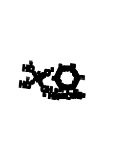 N=C=S.O=[As](O)(O)O.c1ccccc1